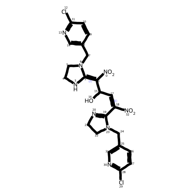 O=[N+]([O-])/C(=C1/NCCN1Cc1ccc(Cl)nc1)C(O)/C=C(\C1=NCCN1Cc1ccc(Cl)nc1)[N+](=O)[O-]